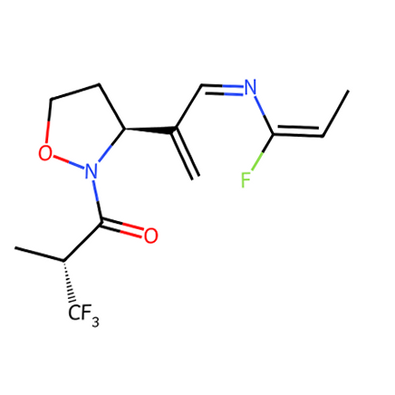 C=C(/C=N\C(F)=C/C)[C@@H]1CCON1C(=O)[C@@H](C)C(F)(F)F